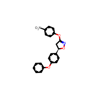 O=[N+]([O-])c1ccc(OC2=NO[C@@H](c3ccc(Oc4ccccc4)cc3)C2)cc1